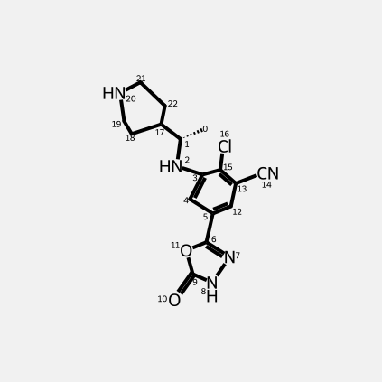 C[C@H](Nc1cc(-c2n[nH]c(=O)o2)cc(C#N)c1Cl)C1CCNCC1